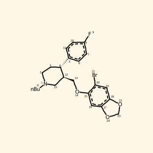 CCCCN1CC[C@H](c2ccc(F)cc2)[C@@H](COc2cc3c(cc2Br)OCO3)C1